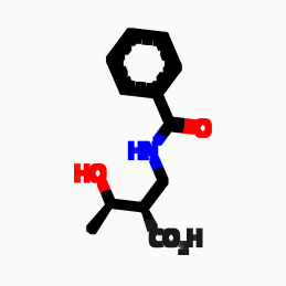 C[C@@H](O)[C@@H](CNC(=O)c1ccccc1)C(=O)O